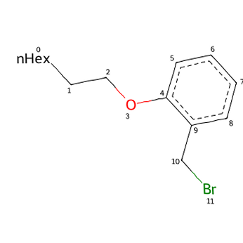 CCCCCCCCOc1ccccc1CBr